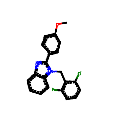 COc1ccc(-c2nc3ccccc3n2Cc2c(F)cccc2Cl)cc1